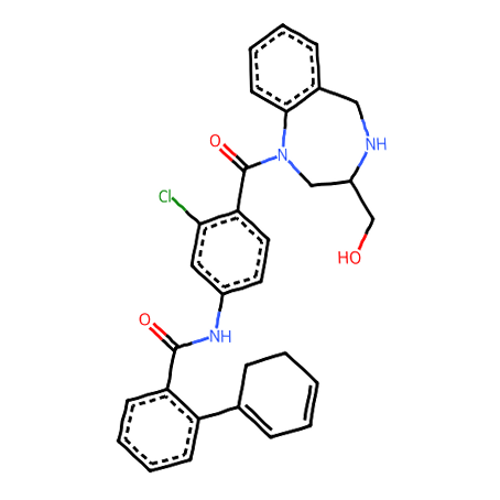 O=C(Nc1ccc(C(=O)N2CC(CO)NCc3ccccc32)c(Cl)c1)c1ccccc1C1=CC=CCC1